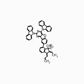 C=CC=C1/C(=C\C)C(C)(C)c2c1cccc2-c1ccc2oc3c(-n4c5ccccc5c5ccccc54)nc(-n4c5ccccc5c5ccccc54)nc3c2c1